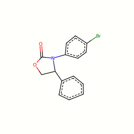 O=C1OCC(c2ccccc2)N1c1ccc(Br)cc1